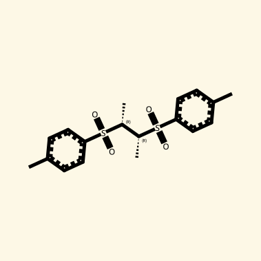 Cc1ccc(S(=O)(=O)[C@H](C)[C@@H](C)S(=O)(=O)c2ccc(C)cc2)cc1